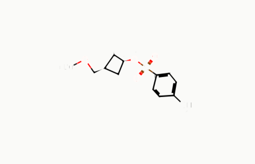 CCCCOC[C@H]1C[C@@H](OS(=O)(=O)c2ccc(C)cc2)C1